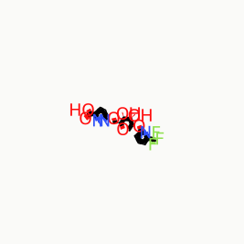 O=C(O)c1ccc(OC[C@H]2OC[C@H](Oc3cccc(C(F)(F)F)n3)[C@@H](O)[C@H]2O)nn1